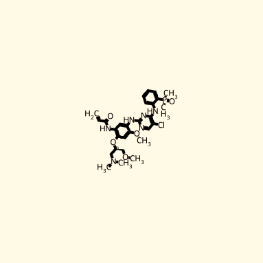 C=CC(=O)Nc1cc(Nc2ncc(Cl)c(Nc3ccccc3P(C)(C)=O)n2)c(OC)cc1O[C@@H](COC)CN(C)C